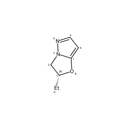 CC[C@@H]1Cn2nccc2O1